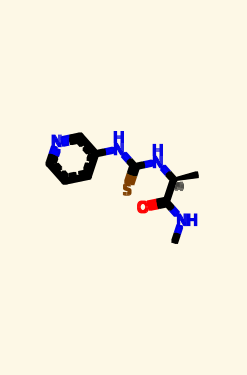 CNC(=O)[C@H](C)NC(=S)Nc1cccnc1